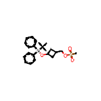 CC(C)(C)[Si](OC1CC(COS(C)(=O)=O)C1)(c1ccccc1)c1ccccc1